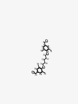 Cc1cc(C=O)cc(C)c1OCCCCCOc1c(C)cc(C=O)cc1C